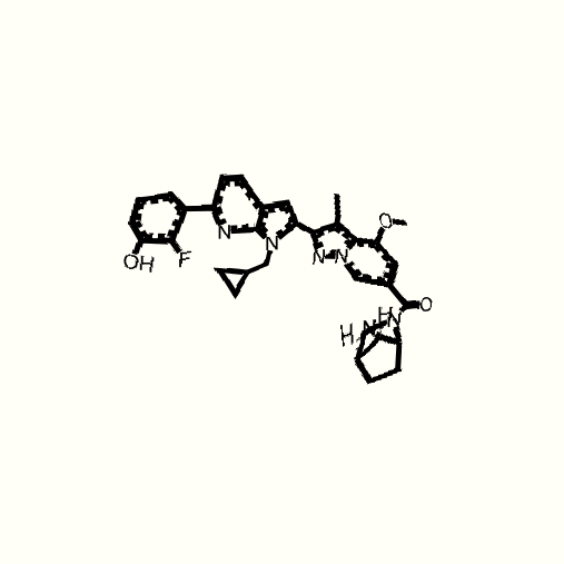 COc1cc(C(=O)N2CC3CCC2[C@@H]3N)cn2nc(-c3cc4ccc(-c5cccc(O)c5F)nc4n3CC3CC3)c(C)c12